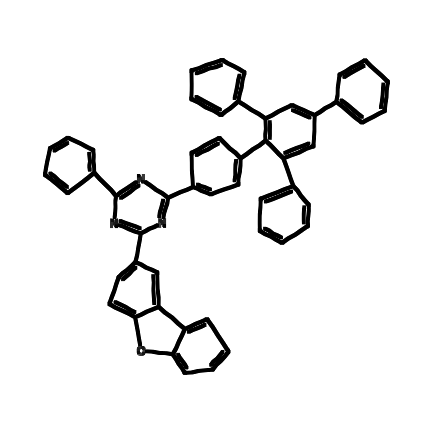 c1ccc(-c2cc(-c3ccccc3)c(-c3ccc(-c4nc(-c5ccccc5)nc(-c5ccc6oc7ccccc7c6c5)n4)cc3)c(-c3ccccc3)c2)cc1